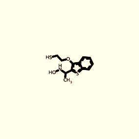 CC(NO)c1sc2ccccc2c1OCCS